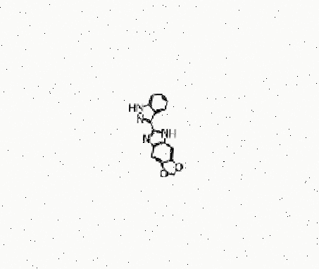 c1ccc2c(-c3nc4cc5c(cc4[nH]3)OCO5)n[nH]c2c1